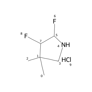 CC1(C)CNC(F)C1F.Cl